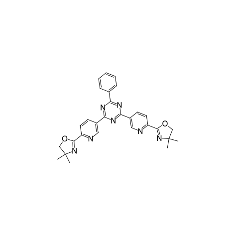 CC1(C)COC(c2ccc(-c3nc(-c4ccccc4)nc(-c4ccc(C5=NC(C)(C)CO5)nc4)n3)cn2)=N1